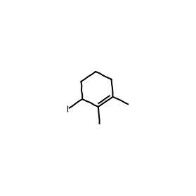 CC1=C(C)C(I)CCC1